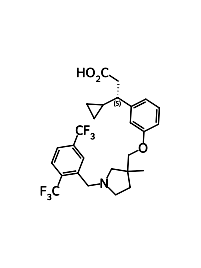 CC1(COc2cccc([C@@H](CC(=O)O)C3CC3)c2)CCN(Cc2cc(C(F)(F)F)ccc2C(F)(F)F)C1